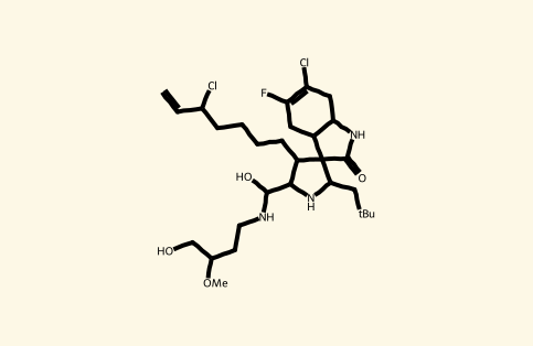 C=CC(Cl)CCCCC1C(C(O)NCCC(CO)OC)NC(CC(C)(C)C)C12C(=O)NC1CC(Cl)=C(F)CC12